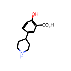 O=C(O)c1cc(C2CCNCC2)ccc1O